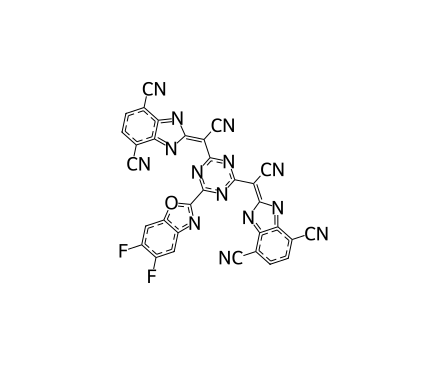 N#CC(=C1N=c2c(C#N)ccc(C#N)c2=N1)c1nc(C(C#N)=C2N=c3c(C#N)ccc(C#N)c3=N2)nc(-c2nc3cc(F)c(F)cc3o2)n1